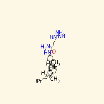 CC(C)CCC[C@@H](C)[C@H]1CC[C@H]2[C@@H]3CC=C4C[C@@H](NC(=O)C(N)CCCNC(=N)N)CC[C@]4(C)[C@H]3CC[C@]12C